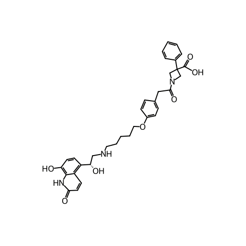 O=C(Cc1ccc(OCCCCCNC[C@H](O)c2ccc(O)c3[nH]c(=O)ccc23)cc1)N1CC(C(=O)O)(c2ccccc2)C1